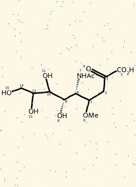 COC(CC(=O)C(=O)O)[C@@H](NC(C)=O)[C@H](O)C(O)C(O)CO